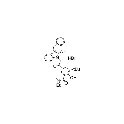 Br.CCN(C)C(=O)c1cc(C(=O)Cn2c(=N)n(Cc3ccccc3)c3ccccc32)cc(C(C)(C)C)c1O